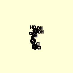 O=C(NCN1CCN(c2cccc(Cl)c2Cl)CC1)c1cc(O)c(O)c(O)c1